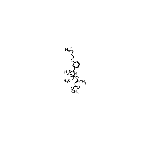 CCCCSc1cccc(C(N)=NP(=O)(CC)OC(C)=CC(=O)OC)c1